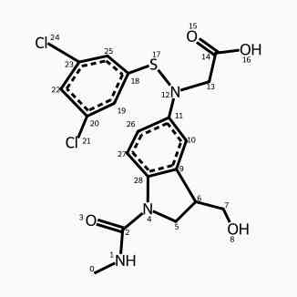 CNC(=O)N1CC(CO)c2cc(N(CC(=O)O)Sc3cc(Cl)cc(Cl)c3)ccc21